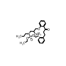 CCCN(CC(O)COc1ccccc1C(=O)CCc1ccccc1)P(=O)(OCC)OCC